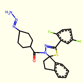 NN=NC1CCC(C(=O)N2N=C(c3cc(F)ccc3F)SC23CCc2ccccc23)CC1